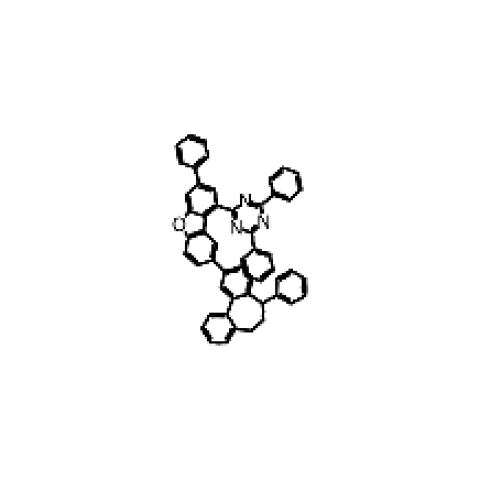 c1ccc(-c2cc(-c3nc(-c4ccccc4)nc(-c4ccccc4)n3)c3c(c2)oc2ccc(-c4ccc5c(c4)-c4ccccc4CCC5c4ccccc4)cc23)cc1